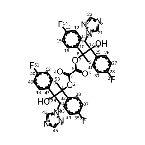 CC(OC(=O)C(=O)OC(C)(c1ccc(F)cc1)C(O)(Cn1cncn1)c1ccc(F)cc1)(c1ccc(F)cc1)C(O)(Cn1cncn1)c1ccc(F)cc1